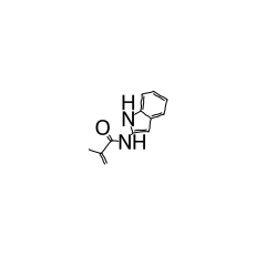 C=C(C)C(=O)Nc1cc2ccccc2[nH]1